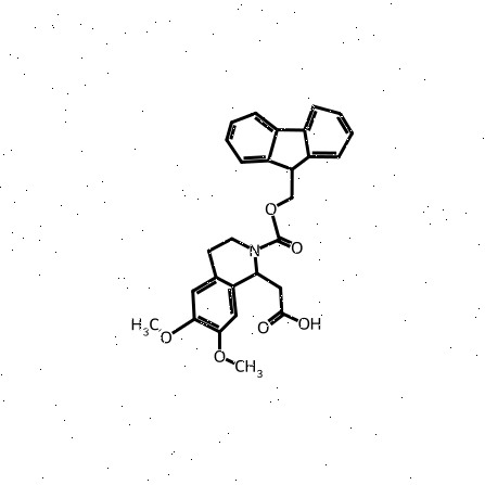 COc1cc2c(cc1OC)C(CC(=O)O)N(C(=O)OCC1c3ccccc3-c3ccccc31)CC2